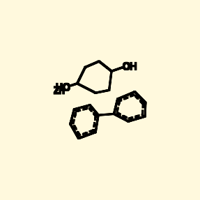 OC1CCC(O)CC1.[Zn].c1ccc(-c2ccccc2)cc1